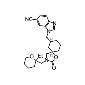 CCC1(CN2C[C@@]3(CCC[C@H](Cn4cnc5ccc(C#N)cc54)C3)OC2=O)CCCCO1